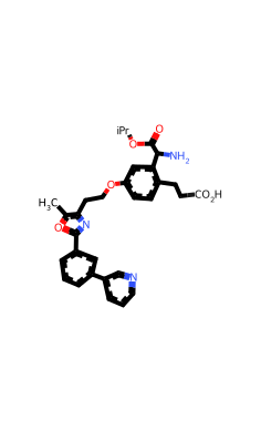 Cc1oc(-c2cccc(-c3cccnc3)c2)nc1CCOc1ccc(CCC(=O)O)c(C(N)C(=O)OC(C)C)c1